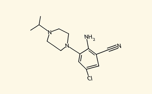 CC(C)N1CCN(c2cc(Cl)cc(C#N)c2N)CC1